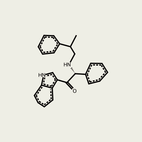 CC(CN[C@@H](C(=O)c1c[nH]c2ccccc12)c1ccccc1)c1ccccc1